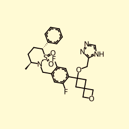 C[C@H]1CC[C@H](c2ccccc2)S(=O)(=O)N1Cc1cc(F)c(C2(OCc3nnc[nH]3)CC3(COC3)C2)cc1F